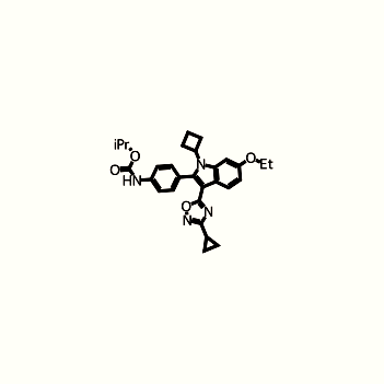 CCOc1ccc2c(-c3nc(C4CC4)no3)c(-c3ccc(NC(=O)OC(C)C)cc3)n(C3CCC3)c2c1